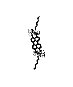 CCCCCCCNN1C(=O)c2ccc3c4ccc5c6c(ccc(c7ccc(c2c37)C1=O)c64)C(=O)N(NCCCCCCC)C5=O